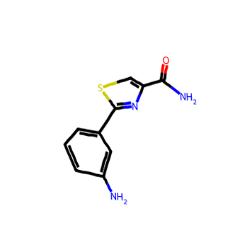 NC(=O)c1csc(-c2cccc(N)c2)n1